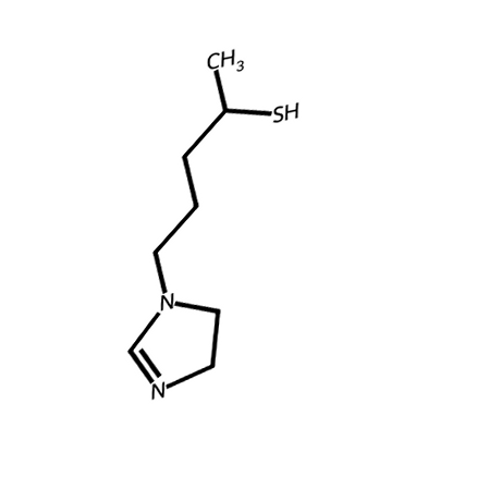 CC(S)CCCN1C=NCC1